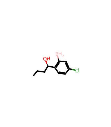 Bc1cc(Cl)ccc1[C@H](O)CCC